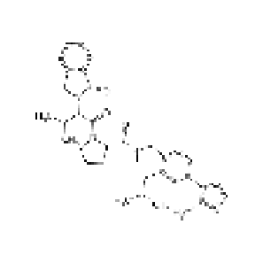 Cc1ncsc1-c1ccc(CNC(=O)[C@@H]2CCCN2C(=O)C(C(C)C)N2Cc3ccccc3C2=O)c(CC(C)C)c1